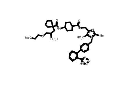 CCCCc1nc(CNC(=O)C2CCC(NC(=O)C3(CC(COCCOC)C(=O)O)CCCC3)CC2)c(C(=O)O)n1Cc1ccc(-c2ccccc2-c2nnn[nH]2)cc1